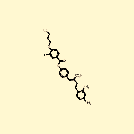 Nc1ccc(CCC(=Cc2ccc(OC(=O)c3ccc(OCCCC(F)(F)F)c(F)c3)cc2)C(=O)O)c(N)c1